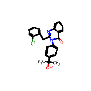 O=c1c2ccccc2nc(Cc2ccccc2Cl)n1-c1ccc(C(O)(C(F)(F)F)C(F)(F)F)cc1